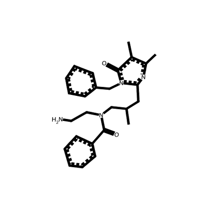 Cc1nc(CC(C)CN(CCN)C(=O)c2ccccc2)n(Cc2ccccc2)c(=O)c1C